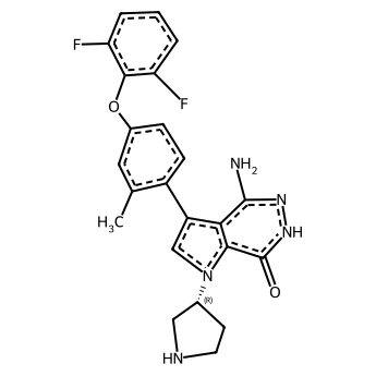 Cc1cc(Oc2c(F)cccc2F)ccc1-c1cn([C@@H]2CCNC2)c2c(=O)[nH]nc(N)c12